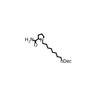 CCCCCCCCCCCCCCCCCCN1CCCC1C(N)=O